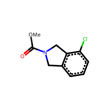 COC(=O)N1Cc2cccc(Cl)c2C1